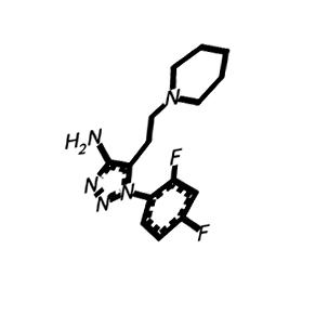 Nc1nnn(-c2ccc(F)cc2F)c1CCN1CCCCC1